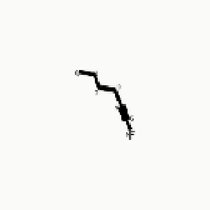 [CH2]CC=CC#CF